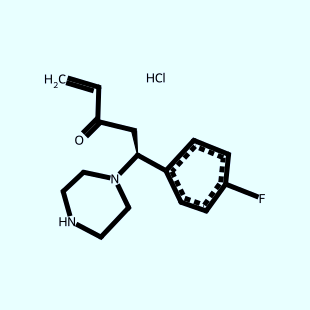 C=CC(=O)C[C@@H](c1ccc(F)cc1)N1CCNCC1.Cl